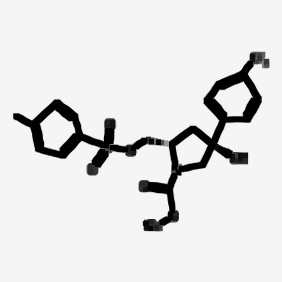 Cc1ccc(S(=O)(=O)OC[C@@H]2C[C@](O)(c3ccc(C(F)(F)F)cc3)CN2C(=O)OC(C)(C)C)cc1